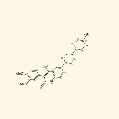 CCc1c(-c2ccc(OC)c(OC)c2)c(=O)[nH]c2ccc(C3CCN(C4CCN(C(C)C)CC4)CC3)cc12